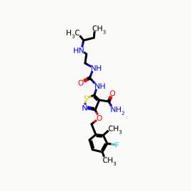 CCC(C)NCCNC(=O)Nc1snc(OCc2ccc(C)c(F)c2C)c1C(N)=O